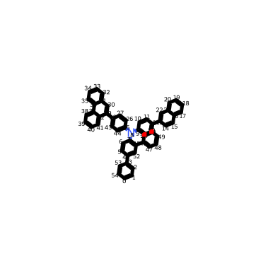 c1ccc(-c2ccc(N(c3ccc(-c4ccc5ccccc5c4)cc3)c3ccc(-c4cc5ccccc5c5ccccc45)cc3)c(-c3ccccc3)c2)cc1